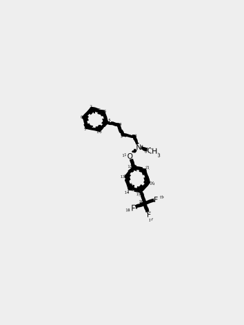 CN(CCCc1ccccc1)Oc1ccc(C(F)(F)F)cc1